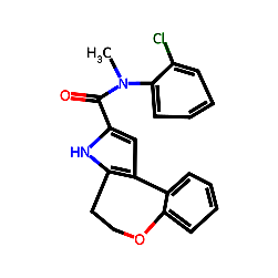 CN(C(=O)c1cc2c([nH]1)CCOc1ccccc1-2)c1ccccc1Cl